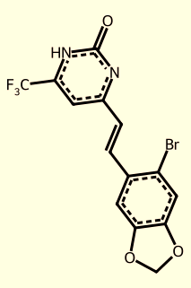 O=c1nc(/C=C/c2cc3c(cc2Br)OCO3)cc(C(F)(F)F)[nH]1